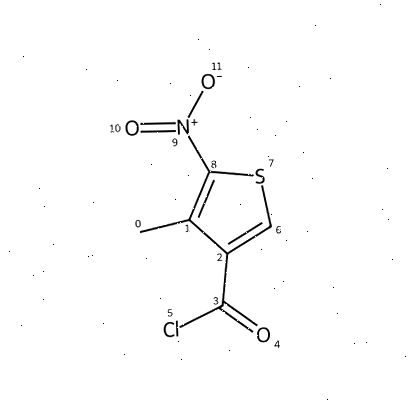 Cc1c(C(=O)Cl)csc1[N+](=O)[O-]